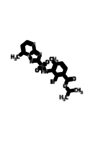 Cc1ccc(C(=O)OC(C)C)c(Br)c1NS(=O)(=O)c1nc2nccc(C)n2n1